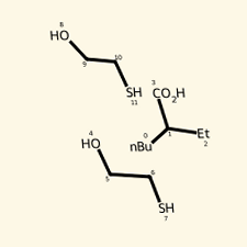 CCCCC(CC)C(=O)O.OCCS.OCCS